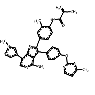 C=C(C)C(=O)Nc1ccc(-c2sc3c(-c4cnn(C)c4)cnc(N)c3c2-c2ccc(Oc3nccc(C)n3)cc2)cc1C